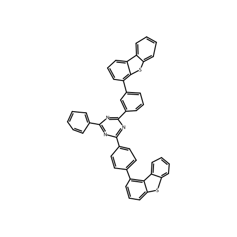 c1ccc(-c2nc(-c3ccc(-c4cccc5sc6ccccc6c45)cc3)nc(-c3cccc(-c4cccc5c4sc4ccccc45)c3)n2)cc1